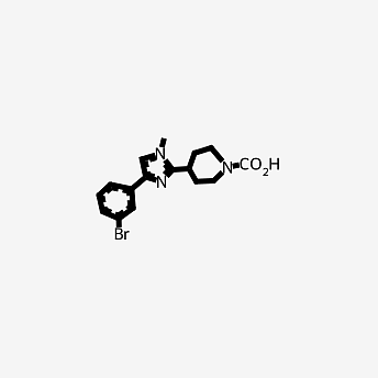 Cn1cc(-c2cccc(Br)c2)nc1C1CCN(C(=O)O)CC1